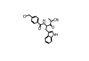 CN(C#N)C(=O)C(Cc1c[nH]c2ccccc12)NC(=O)c1ccc(CCl)cc1